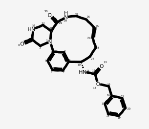 O=C1CN2c3cccc(c3)[C@@H](NC(=O)OCc3ccccc3)CC/C=C/CCNC(=O)C2CN1